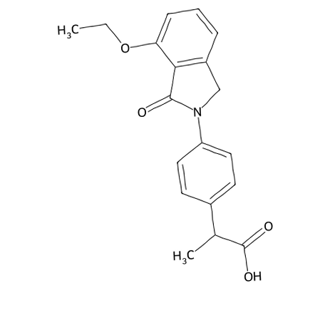 CCOc1cccc2c1C(=O)N(c1ccc(C(C)C(=O)O)cc1)C2